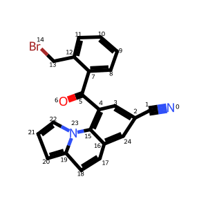 N#Cc1cc(C(=O)c2ccccc2CBr)c2c(ccc3cccn32)c1